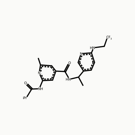 Cc1cc(C(=O)NC(C)c2ccc(NCC(F)(F)F)nc2)cc(NC(=O)C(C)C)n1